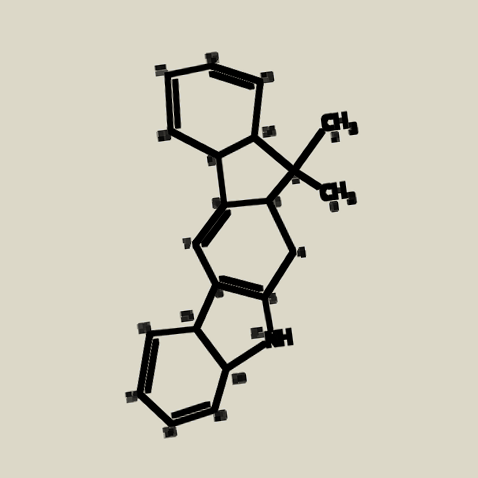 CC1(C)C2CC3=C(C=C2C2C=CC=CC21)C1C=CC=CC1N3